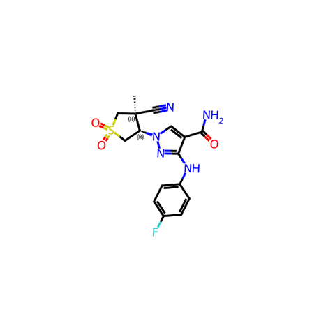 C[C@@]1(C#N)CS(=O)(=O)C[C@@H]1n1cc(C(N)=O)c(Nc2ccc(F)cc2)n1